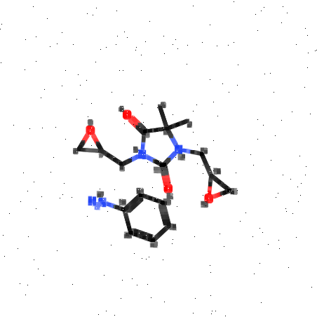 CC1(C)C(=O)N(CC2CO2)C(=O)N1CC1CO1.Nc1ccccc1